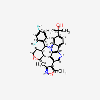 Cc1noc(C)c1-c1cnc2c3ccc(C(C)(C)O)cc3n(C(c3ccc(F)cc3F)C3CCOCC3)c2c1